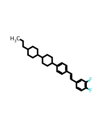 CCCC1CCC(C2CCC(c3ccc(C=Cc4ccc(F)c(F)c4)cc3)CC2)CC1